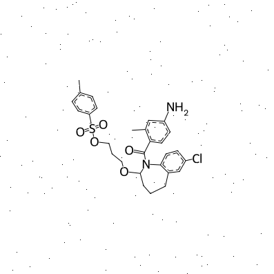 Cc1ccc(S(=O)(=O)OCCCOC2CCCc3cc(Cl)ccc3N2C(=O)c2ccc(N)cc2C)cc1